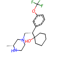 C[C@@H]1CN(C[C@H](c2cccc(OC(F)(F)F)c2)C2(O)CCCCC2)CCN1